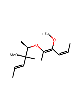 C/C=C\C(OCCCC)=C(/C)O[C@H](C)[C@](C)(/C=C/C)OC